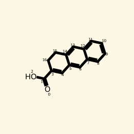 O=C(O)C1=Cc2cc3ccccc3cc2CC1